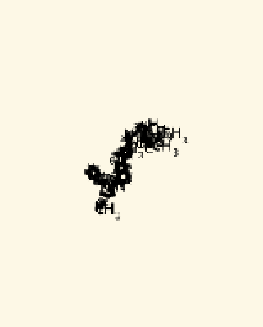 COC[C@H]1C[C@@H](c2nc3c([nH]2)-c2cc4c(cc2CC3)-c2ccc(-c3cnc([C@@H]5CC[C@H](C)N5C(=O)[C@@H](NC(=O)OC)C(C)C)[nH]3)cc2CO4)N(C(=O)[CH]c2ccccc2)C1